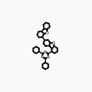 c1ccc(-c2nc(-c3ccccc3)nc(-c3cccc4oc5cc(-c6cccc7c6oc6ccccc67)ccc5c34)n2)cc1